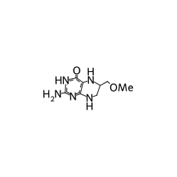 COCC1CNc2nc(N)[nH]c(=O)c2N1